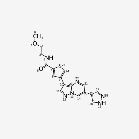 COCCNC(=O)c1cc(-c2cnn3cc(-c4cn[nH]c4)cnc23)cs1